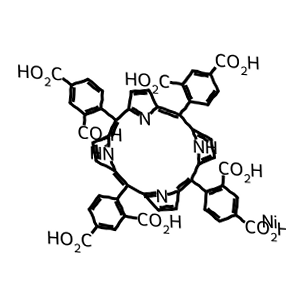 O=C(O)c1ccc(-c2c3nc(c(-c4ccc(C(=O)O)cc4C(=O)O)c4ccc([nH]4)c(-c4ccc(C(=O)O)cc4C(=O)O)c4nc(c(-c5ccc(C(=O)O)cc5C(=O)O)c5ccc2[nH]5)C=C4)C=C3)c(C(=O)O)c1.[Ni]